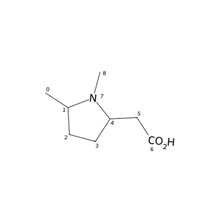 CC1CCC(CC(=O)O)N1C